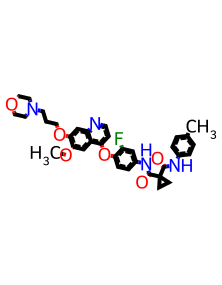 COc1cc2c(Oc3ccc(NC(=O)C4(C(=O)Nc5ccc(C)cc5)CC4)cc3F)ccnc2cc1OCCCN1CCOCC1